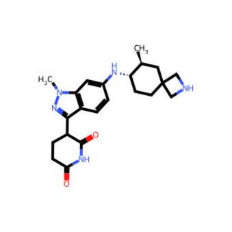 C[C@H]1CC2(CC[C@@H]1Nc1ccc3c(C4CCC(=O)NC4=O)nn(C)c3c1)CNC2